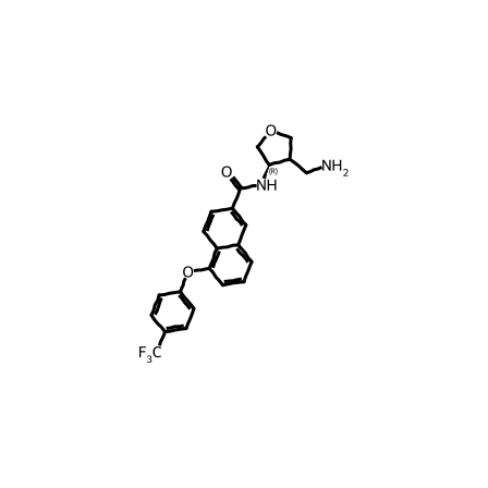 NCC1COC[C@@H]1NC(=O)c1ccc2c(Oc3ccc(C(F)(F)F)cc3)cccc2c1